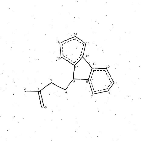 C=C(C)CCC1c2ccccc2-c2ccccc21